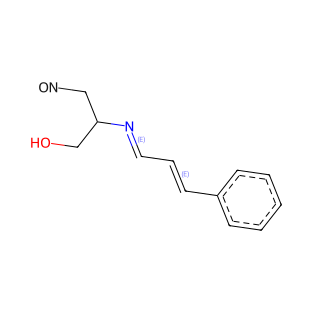 O=NCC(CO)/N=C/C=C/c1ccccc1